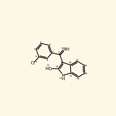 N=C(c1cccc(Cl)c1)c1c(O)[nH]c2ccccc12